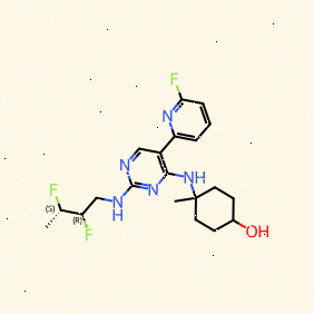 C[C@H](F)[C@H](F)CNc1ncc(-c2cccc(F)n2)c(NC2(C)CCC(O)CC2)n1